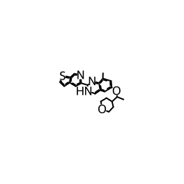 Cc1cc(OC(C)C2CCOCC2)cc2c1=NC(c1cc3ccsc3cn1)NC=2